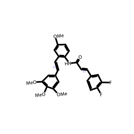 COc1ccc(NC(=O)/C=C/c2ccc(F)c(F)c2)c(/C=C/c2cc(OC)c(OC)c(OC)c2)c1